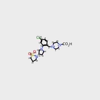 O=C(O)N1CCN(Cc2ccc(Cl)cc2N2CC[C@H](N3CCCS3(=O)=O)C2)CC1